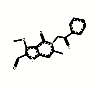 COc1c(C=O)sc2cc(C)n(CC(=O)c3ccccc3)c(=O)c12